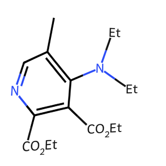 CCOC(=O)c1ncc(C)c(N(CC)CC)c1C(=O)OCC